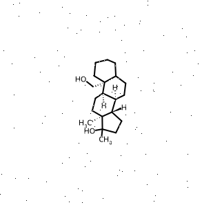 CC1(O)CC[C@H]2[C@@H]3CCC4CCCC[C@]4(CO)[C@@H]3CC[C@@]21C